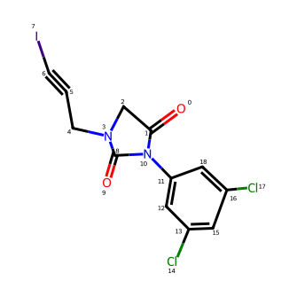 O=C1CN(CC#CI)C(=O)N1c1cc(Cl)cc(Cl)c1